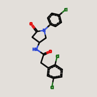 O=C(Cc1cc(Cl)ccc1Cl)NC1CC(=O)N(c2ccc(Cl)cc2)C1